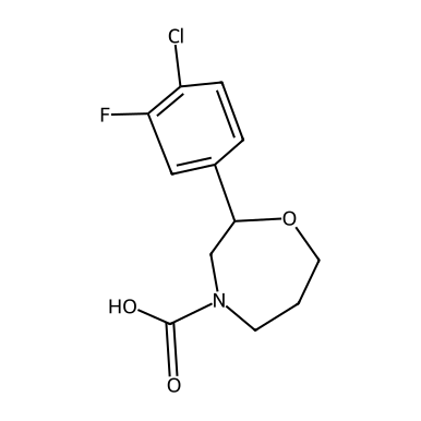 O=C(O)N1CCCOC(c2ccc(Cl)c(F)c2)C1